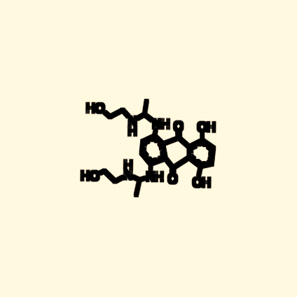 CC(NCCO)Nc1ccc(NC(C)NCCO)c2c1C(=O)c1c(O)ccc(O)c1C2=O